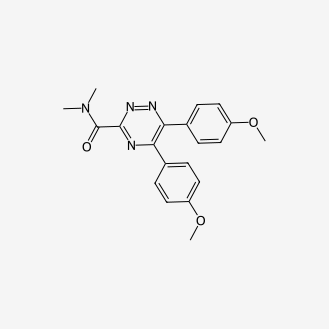 COc1ccc(-c2nnc(C(=O)N(C)C)nc2-c2ccc(OC)cc2)cc1